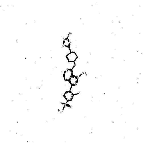 CC(C)c1noc(C2CCC(Oc3ncnc4c(-c5ccc(S(C)(=O)=O)cc5F)nn(C)c34)CC2)n1